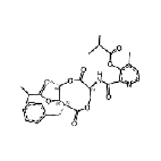 Cc1ccnc(C(=O)N[C@H]2COC(=O)[C@H](Cc3ccccc3)[C@@H](OC(=O)C(C)C)[C@H](C)OC2=O)c1OC(=O)C(C)C